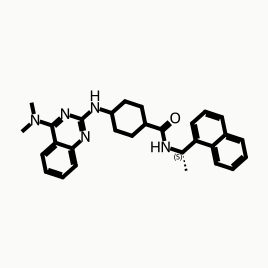 C[C@H](NC(=O)C1CCC(Nc2nc(N(C)C)c3ccccc3n2)CC1)c1cccc2ccccc12